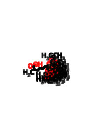 C=C(CCCC[Si](O[Si](O[Si](C)(C)C)(O[Si](C)(C)C)O[Si](C)(C)C)(O[Si](O[Si](C)(C)C)(O[Si](C)(C)C)O[Si](C)(C)C)O[Si](O[Si](C)(C)C)(O[Si](C)(C)C)O[Si](C)(C)C)C(=O)O